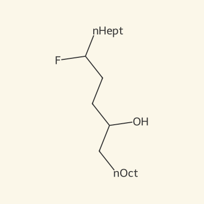 CCCCCCCCCC(O)CCC(F)CCCCCCC